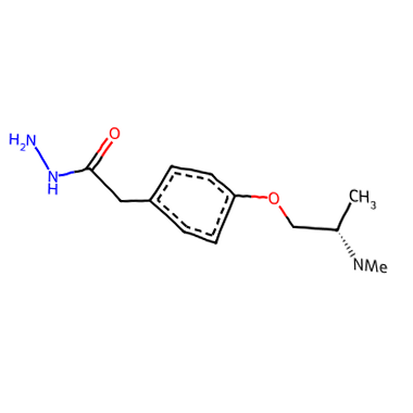 CN[C@@H](C)COc1ccc(CC(=O)NN)cc1